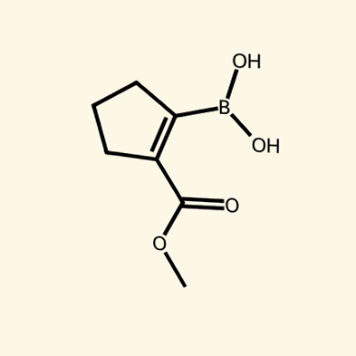 COC(=O)C1=C(B(O)O)CCC1